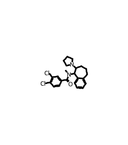 CN(C(=O)c1ccc(Cl)c(Cl)c1)C1c2ccccc2CCCC1N1CCCC1